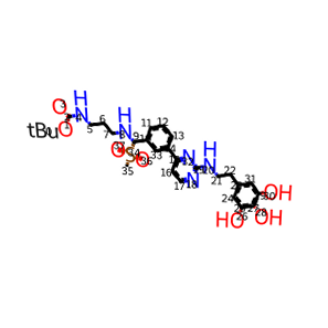 CC(C)(C)OC(=O)NCCCNC(c1cccc(-c2ccnc(NCCc3cc(O)c(O)c(O)c3)n2)c1)S(C)(=O)=O